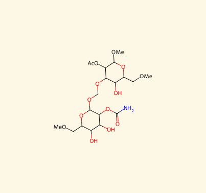 COCC1OC(OCOC2C(O)C(COC)OC(OC)C2OC(C)=O)C(OC(N)=O)C(O)C1O